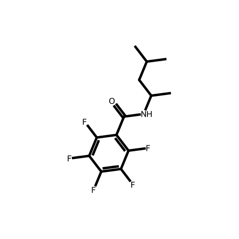 CC(C)CC(C)NC(=O)c1c(F)c(F)c(F)c(F)c1F